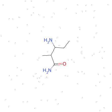 CCC(N)C(C)C(N)=O